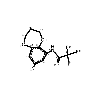 Nc1cc(NC(=O)C(F)(F)F)c2c(c1)OCCCO2